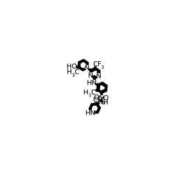 Cc1c(Nc2ncc(C(F)(F)F)c(N3CCC[C@](C)(O)C3)n2)cccc1S(=O)(=O)NC1(C)CCNCC1